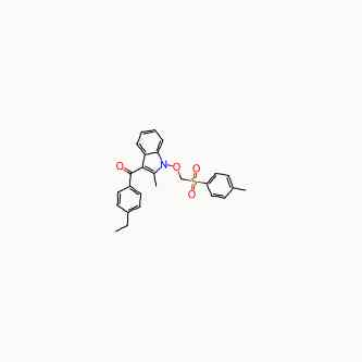 CCc1ccc(C(=O)c2c(C)n(OCS(=O)(=O)c3ccc(C)cc3)c3ccccc23)cc1